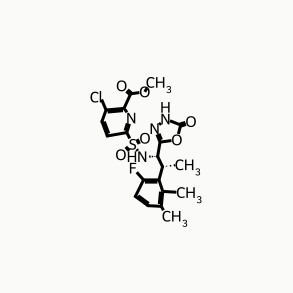 COC(=O)c1nc(S(=O)(=O)N[C@H](c2n[nH]c(=O)o2)[C@H](C)c2c(F)ccc(C)c2C)ccc1Cl